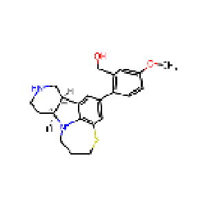 COc1ccc(-c2cc3c4c(c2)[C@@H]2CNCC[C@@H]2N4CCCS3)c(CO)c1